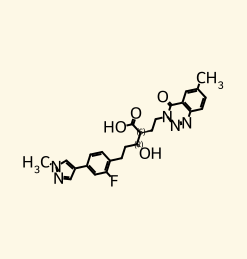 Cc1ccc2nnn(CC[C@H](C(=O)O)[C@H](O)CCc3ccc(-c4cnn(C)c4)cc3F)c(=O)c2c1